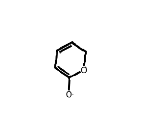 [O]C1=CC=CCO1